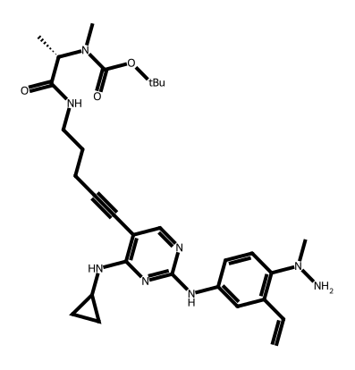 C=Cc1cc(Nc2ncc(C#CCCCNC(=O)[C@H](C)N(C)C(=O)OC(C)(C)C)c(NC3CC3)n2)ccc1N(C)N